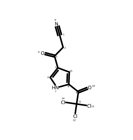 N#CCC(=O)c1c[nH]c(C(=O)C(Cl)(Cl)Cl)c1